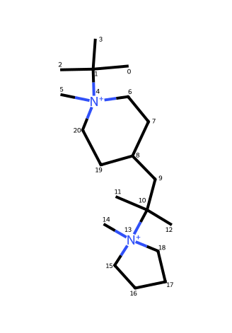 CC(C)(C)[N+]1(C)CCC(CC(C)(C)[N+]2(C)CCCC2)CC1